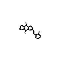 O=C1c2ccccc2C(=O)c2cc(C=Cc3ccccc3O)ccc21